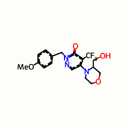 COc1ccc(Cn2ncc(N3CCOCC3CO)c(C(F)(F)F)c2=O)cc1